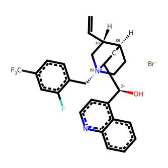 C=C[C@H]1C[N@+]2(Cc3ccc(C(F)(F)F)cc3F)CC[C@H]1CC2[C@@H](O)c1ccnc2ccccc12.[Br-]